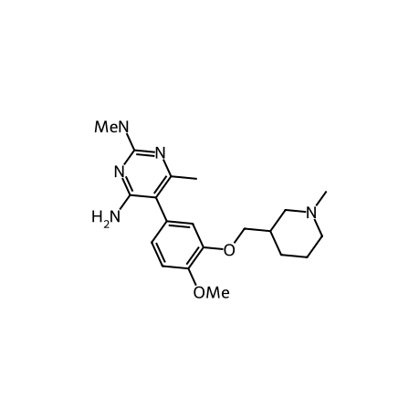 CNc1nc(C)c(-c2ccc(OC)c(OCC3CCCN(C)C3)c2)c(N)n1